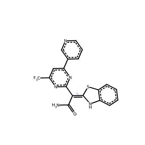 NC(=O)/C(=C1\Nc2ccccc2S1)c1nc(-c2cccnc2)cc(C(F)(F)F)n1